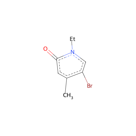 CCn1cc(Br)c(C)cc1=O